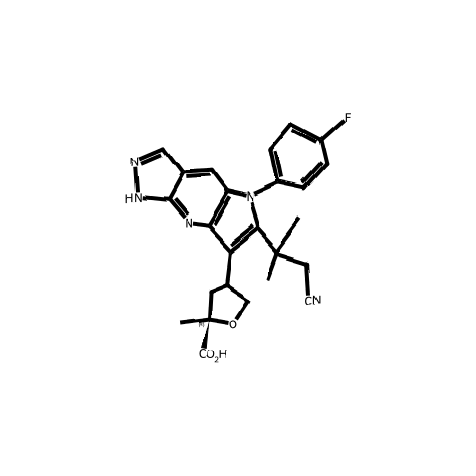 CC(C)(CC#N)c1c(C2CO[C@@](C)(C(=O)O)C2)c2nc3[nH]ncc3cc2n1-c1ccc(F)cc1